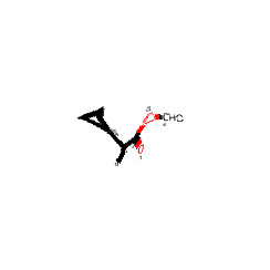 C=C(C(=O)OC=O)C1CC1